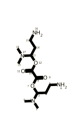 CN(C)C(CCN)OC(=O)C(=O)OC(CCN)N(C)C